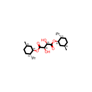 CC(C)[C@@H]1CC[C@@H](C)C[C@H]1OC(=O)[C@H](O)[C@@H](O)C(=O)O[C@@H]1C[C@H](C)CC[C@H]1C(C)C